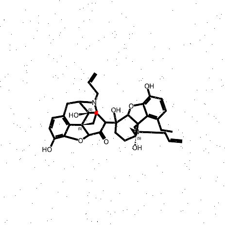 C=CCN1CC23c4c(CC)ccc(O)c4OC2C(O)(C2C[C@@]4(O)C5Cc6ccc(O)c7c6[C@@]4(CCN5CC=C)C(O7)C2=O)CC[C@@]3(O)C1